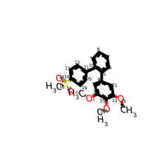 COc1cc(-c2ccccc2-c2ccc(S(C)(=O)=O)cc2)cc(OC)c1OC